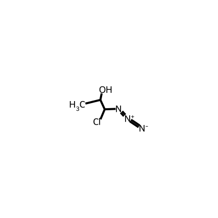 CC(O)C(Cl)N=[N+]=[N-]